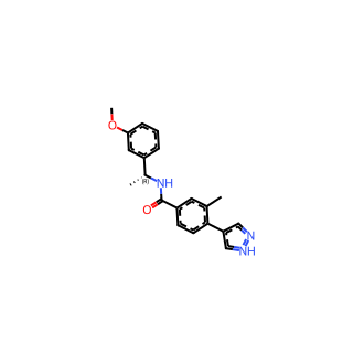 COc1cccc([C@@H](C)NC(=O)c2ccc(-c3cn[nH]c3)c(C)c2)c1